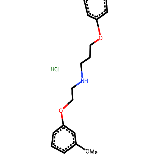 COc1cccc(OCCNCCCOc2ccccc2)c1.Cl